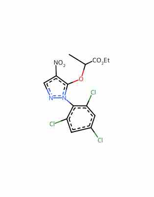 CCOC(=O)C(C)Oc1c([N+](=O)[O-])cnn1-c1c(Cl)cc(Cl)cc1Cl